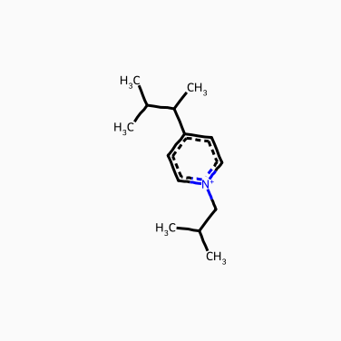 CC(C)C[n+]1ccc(C(C)C(C)C)cc1